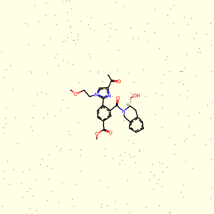 COCCn1cc(C(C)=O)nc1-c1ccc(C(=O)OC)cc1C(=O)N1Cc2ccccc2C[C@H]1CO